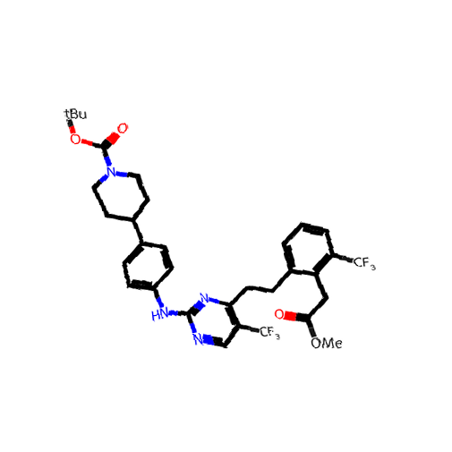 COC(=O)Cc1c(CCc2nc(Nc3ccc(C4CCN(C(=O)OC(C)(C)C)CC4)cc3)ncc2C(F)(F)F)cccc1C(F)(F)F